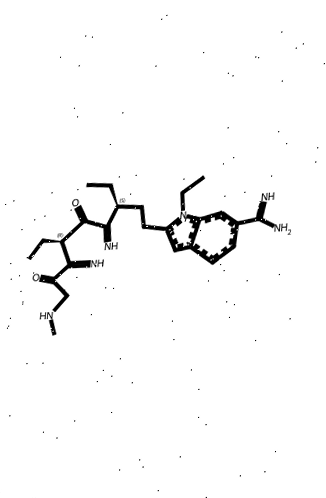 CC[C@@H](CCc1cc2ccc(C(=N)N)cc2n1CC)C(=N)C(=O)[C@H](CC)C(=N)C(=O)CNC